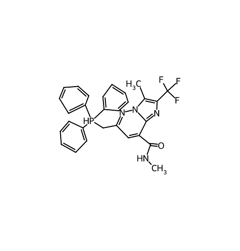 CNC(=O)c1cc(C[PH](c2ccccc2)(c2ccccc2)c2ccccc2)nn2c(C)c(C(F)(F)F)nc12